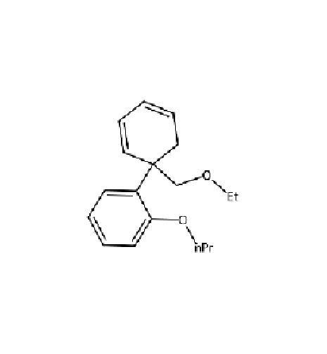 CCCOc1ccccc1C1(COCC)C=CC=CC1